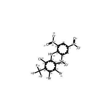 O=[N+]([O-])c1cc([N+](=O)[O-])c(Nc2c(Cl)c(Br)c(Br)c(C(F)(F)F)c2Cl)c([N+](=O)[O-])c1